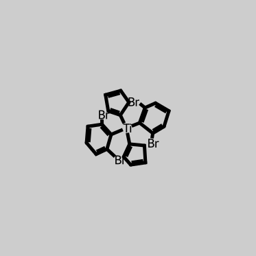 Brc1cccc(Br)[c]1[Ti]([C]1=CC=CC1)([C]1=CC=CC1)[c]1c(Br)cccc1Br